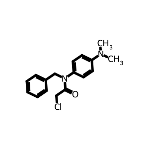 CN(C)c1ccc(N(Cc2ccccc2)C(=O)CCl)cc1